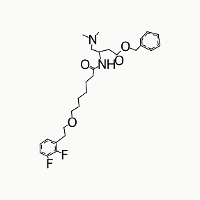 CN(C)CC(CC(=O)OCc1ccccc1)NC(=O)CCCCCCOCCc1cccc(F)c1F